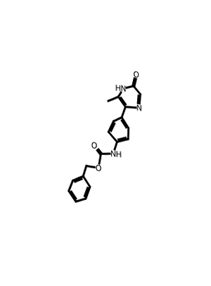 Cc1[nH]c(=O)cnc1-c1ccc(NC(=O)OCc2ccccc2)cc1